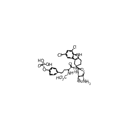 CCC(C)C(NC(=O)C1(NC(=O)C(CCc2ccc(OP(=O)(O)O)cc2)NC(=O)O)CCc2[nH]c3c(Cl)cc(Cl)cc3c2C1)C(N)=S